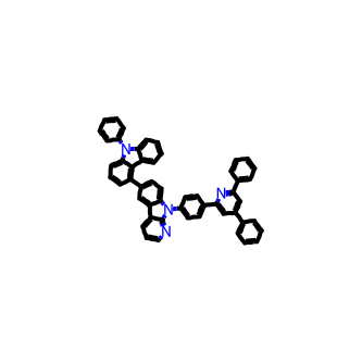 c1ccc(-c2cc(-c3ccccc3)nc(-c3ccc(-n4c5ccc(-c6cccc7c6c6ccccc6n7-c6ccccc6)cc5c5cccnc54)cc3)c2)cc1